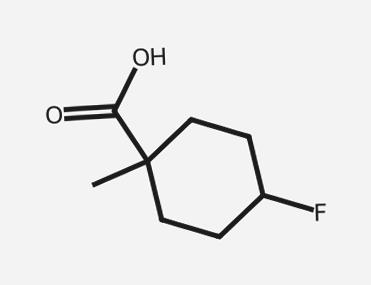 CC1(C(=O)O)CCC(F)CC1